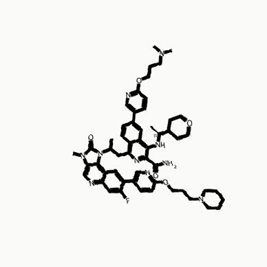 CC(Cc1nc(C(N)=O)c(N[C@@H](C)C2CCOCC2)c2cc(-c3ccc(OCCCN(C)C)nc3)ccc12)n1c(=O)n(C)c2cnc3cc(F)c(-c4ccc(OCCCN5CCCCC5)nc4)cc3c21